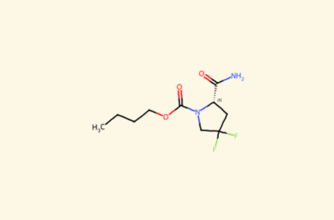 CCCCOC(=O)N1CC(F)(F)C[C@H]1C(N)=O